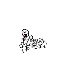 CC(C)C(NC(N)=O)C(=O)N1C(c2nc3cc(C4=CC5CC=C4CCC4=CC(c6ccc7[nH]c(C8CC9CCCCC9N8C(=O)C(NC(N)=O)C(C)C)nc7c6)C(C=C4)CC5)ccc3[nH]2)CC2CCCCC21